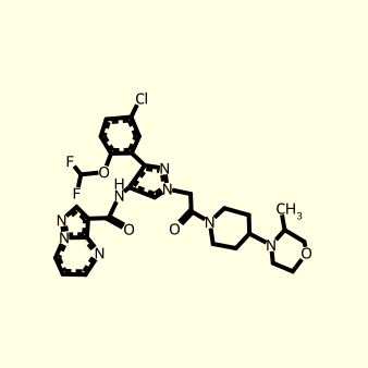 CC1COCCN1C1CCN(C(=O)Cn2cc(NC(=O)c3cnn4cccnc34)c(-c3cc(Cl)ccc3OC(F)F)n2)CC1